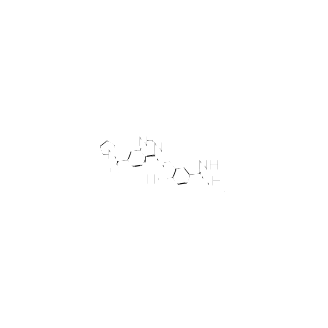 N=C(N)c1ccc(O)c(CNc2ncnc3cc(C(=O)N4CC=CC4)ccc23)c1